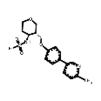 CCS(=O)(=O)N[C@H]1CCOC[C@@H]1COc1ccc(-c2ccc(C)nc2)cc1